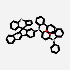 c1ccc(-c2ccccc2N(c2ccc3c(c2)C2(c4ccccc4Oc4ccccc42)c2cc4ccccc4cc2-3)c2ccc3c(c2)c2ccccc2n3-c2ccccc2)cc1